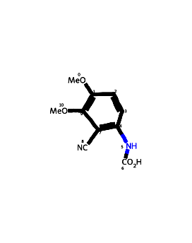 COc1ccc(NC(=O)O)c(C#N)c1OC